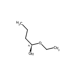 CCC[C@H](O)OCC